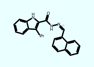 CC(C)c1c(C(=O)N/N=C\c2cccc3ccccc23)[nH]c2ccccc12